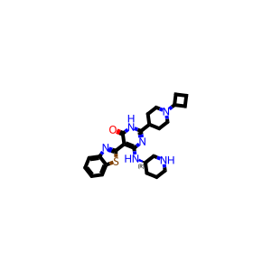 O=c1[nH]c(C2CCN(C3CCC3)CC2)nc(N[C@@H]2CCCNC2)c1-c1nc2ccccc2s1